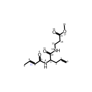 C=CCC(NC(=O)/C=C/C)C(=O)NCCC(=O)OC